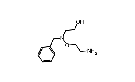 NCCON(CCO)Cc1ccccc1